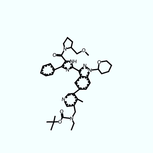 CCN(Cc1cncc(-c2ccc3c(c2)c(-c2nc(-c4ccccc4)c(C(=O)N4CCCC4COC)[nH]2)nn3C2CCCCO2)c1C)C(=O)OC(C)(C)C